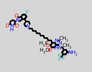 COc1cc2c(N[C@@H](C)c3cc(N)cc(C(F)(F)F)c3)nc(C)nc2c(CCCCCCCCCCCCN2CCC(c3cc(F)cc4c3CN(C3CCC(=O)NC3=O)C4=O)CC2)c1OC